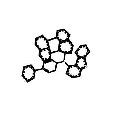 C1=CC(N(c2ccccc2-c2cccc3cccc(-c4ccccc4)c23)c2cccc3oc4ccccc4c23)CC=C1c1ccccc1